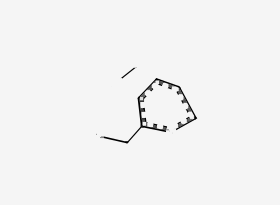 CF.NCc1ccccn1